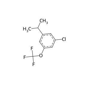 CC(C)c1cc(Cl)cc(OC(F)(F)F)c1